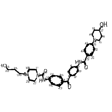 O=C(Nc1ccc(C(=O)c2ccc(NC(=O)N3CCN(CCCO)CC3)cc2)cc1)c1ccc(N2CCC(O)CC2)cc1